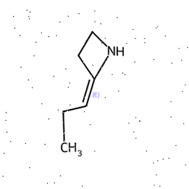 CC/C=C1\CCN1